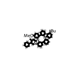 COc1ccc2c(c1)N(c1cc(C)c(-c3ccccc3)cn1)c1ccccc1-c1ccccc1N(c1cccc(C(C)(C)C)c1)c1ccccc1-2